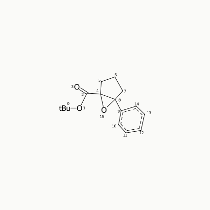 CC(C)(C)OC(=O)C12CCCC1(c1ccccc1)O2